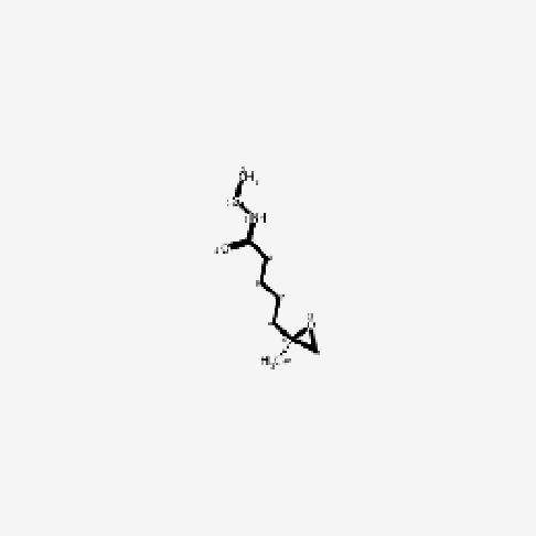 CSNC(=O)CCCC[C@]1(C)CO1